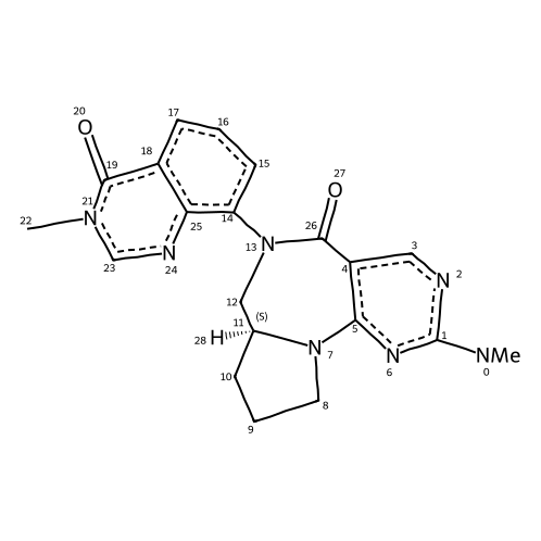 CNc1ncc2c(n1)N1CCC[C@H]1CN(c1cccc3c(=O)n(C)cnc13)C2=O